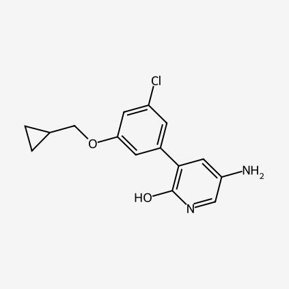 Nc1cnc(O)c(-c2cc(Cl)cc(OCC3CC3)c2)c1